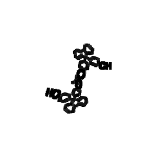 CC(COc1ccc(C2(c3ccc(O)cc3)c3ccccc3-c3ccccc32)cc1)Oc1ccc(C2(c3ccc(O)cc3)c3ccccc3-c3ccccc32)cc1